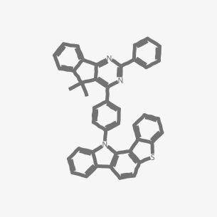 CC1(C)c2ccccc2-c2nc(-c3ccccc3)nc(-c3ccc(-n4c5ccccc5c5ccc6sc7ccccc7c6c54)cc3)c21